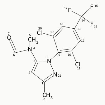 Cc1cc(N(C)C=O)n(-c2c(Cl)cc(C(F)(F)F)cc2Cl)n1